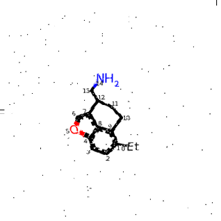 CCc1ccc2occ3c2c1CCC3CN